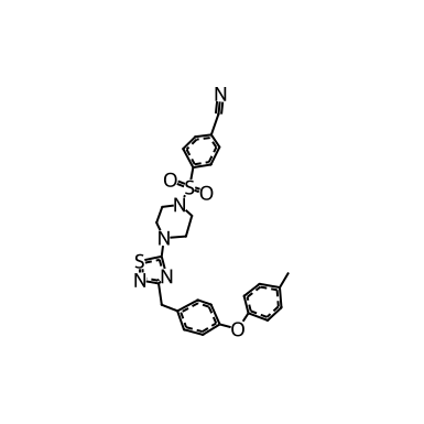 Cc1ccc(Oc2ccc(Cc3nsc(N4CCN(S(=O)(=O)c5ccc(C#N)cc5)CC4)n3)cc2)cc1